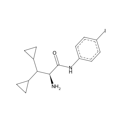 N[C@H](C(=O)Nc1ccc(I)cc1)C(C1CC1)C1CC1